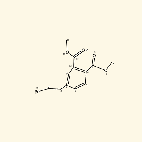 COC(=O)c1ccc(CCBr)cc1C(=O)OC